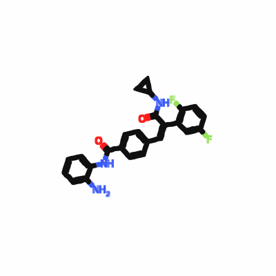 Nc1ccccc1NC(=O)c1ccc(/C=C(\C(=O)NC2CC2)c2cc(F)ccc2F)cc1